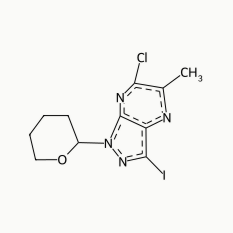 Cc1nc2c(I)nn(C3CCCCO3)c2nc1Cl